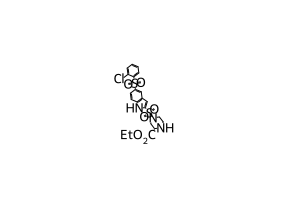 CCOC(=O)C1CN(S(=O)(=O)c2cc3cc(S(=O)(=O)c4ccccc4Cl)ccc3[nH]2)CCN1